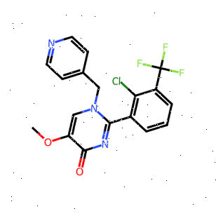 COc1cn(Cc2ccncc2)c(-c2cccc(C(F)(F)F)c2Cl)nc1=O